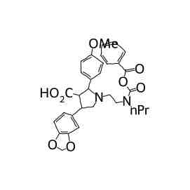 CCCN(CCN1CC(c2ccc3c(c2)OCO3)C(C(=O)O)C1c1ccc(OC)cc1)C(=O)OC(=O)c1ccccc1